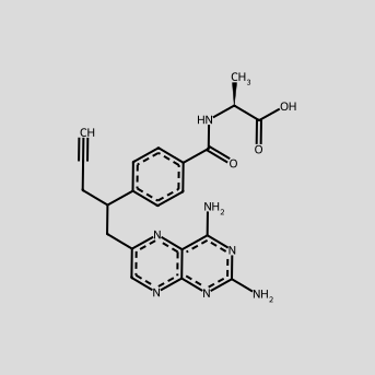 C#CCC(Cc1cnc2nc(N)nc(N)c2n1)c1ccc(C(=O)N[C@@H](C)C(=O)O)cc1